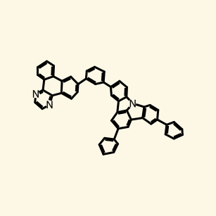 c1ccc(-c2ccc3c(c2)c2cc(-c4ccccc4)cc4c5cc(-c6cccc(-c7ccc8c(c7)c7ccccc7c7nccnc87)c6)ccc5n3c24)cc1